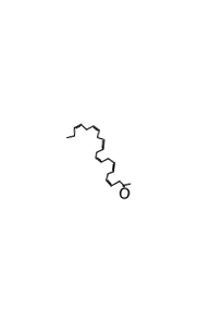 CC/C=C\C/C=C\C/C=C\C/C=C\C/C=C\C/C=C\CC(C)=O